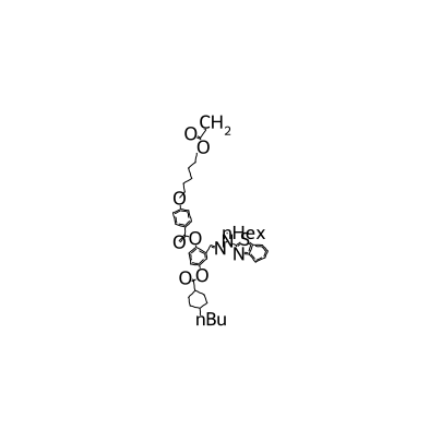 C=CC(=O)OCCCCCCOc1ccc(C(=O)Oc2ccc(OC(=O)C3CCC(CCCC)CC3)cc2C=NN(CCCCCC)c2nc3ccccc3s2)cc1